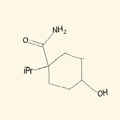 CC(C)C1(C(N)=O)C[CH]C(O)CC1